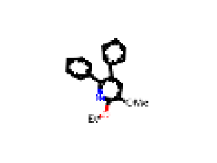 CCOc1nc(-c2ccccc2)c(-c2ccccc2)cc1OC